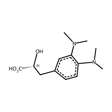 CN(C)c1ccc(C[C@@H](O)C(=O)O)cc1N(C)C